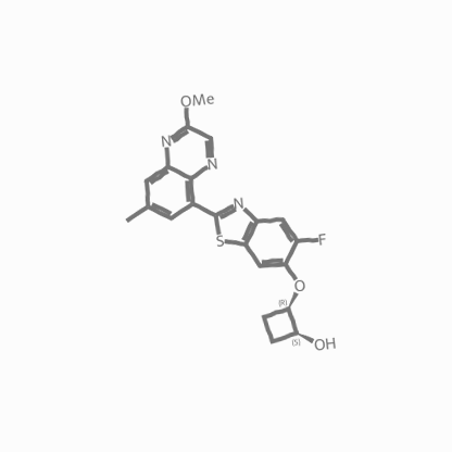 COc1cnc2c(-c3nc4cc(F)c(O[C@@H]5CC[C@@H]5O)cc4s3)cc(C)cc2n1